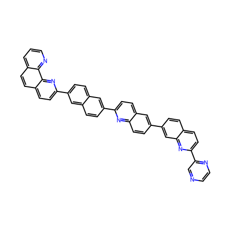 c1cnc2c(c1)ccc1ccc(-c3ccc4cc(-c5ccc6cc(-c7ccc8ccc(-c9cnccn9)nc8c7)ccc6n5)ccc4c3)nc12